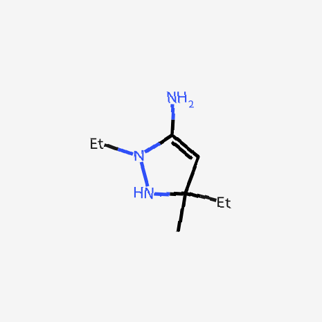 CCN1NC(C)(CC)C=C1N